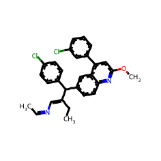 C/C=N\C=C(/CC)C(c1ccc(Cl)cc1)c1ccc2nc(OC)cc(-c3cccc(Cl)c3)c2c1